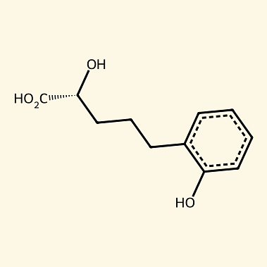 O=C(O)[C@H](O)CCCc1ccccc1O